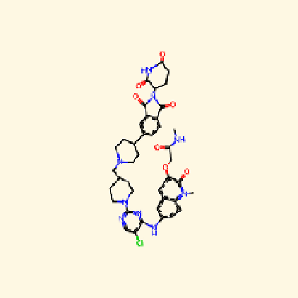 CNC(=O)COc1cc2cc(Nc3nc(N4CCC(CN5CCC(c6ccc7c(c6)C(=O)N(C6CCC(=O)NC6=O)C7=O)CC5)CC4)ncc3Cl)ccc2n(C)c1=O